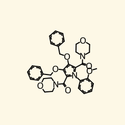 COc1ccccc1-n1c(C(=O)N2CCOCC2)c(OCc2ccccc2)c(OCc2ccccc2)c1C(=O)N1CCOCC1